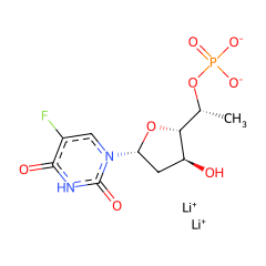 C[C@@H](OP(=O)([O-])[O-])[C@H]1O[C@@H](n2cc(F)c(=O)[nH]c2=O)C[C@@H]1O.[Li+].[Li+]